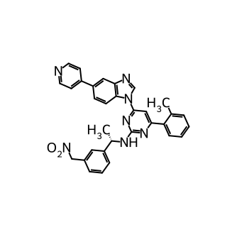 Cc1ccccc1-c1cc(-n2cnc3cc(-c4ccncc4)ccc32)nc(N[C@@H](C)c2cccc(C[N+](=O)[O-])c2)n1